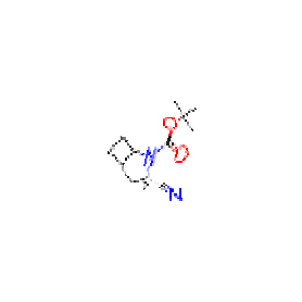 CC(C)(C)OC(=O)N1C2CCC2C[C@H]1C#N